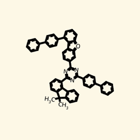 CC1(C)c2ccccc2-c2c(-c3nc(-c4ccc(-c5ccccc5)cc4)nc(-c4ccc5c(c4)oc4cccc(-c6ccc(-c7ccccc7)cc6)c45)n3)cccc21